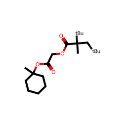 CC(C)(C)CC(C)(C(=O)OCC(=O)OC1(C)CCCCC1)C(C)(C)C